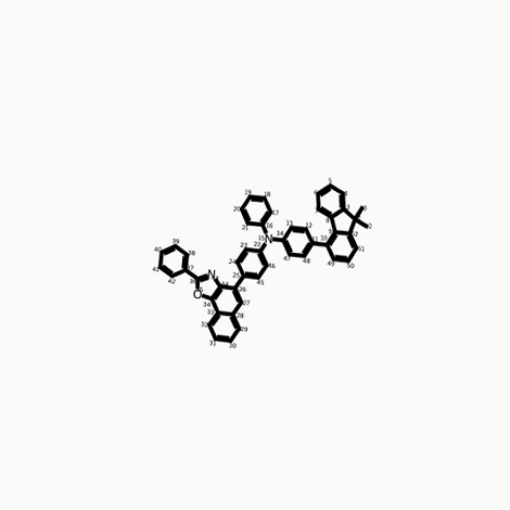 CC1(C)c2ccccc2-c2c(-c3ccc(N(c4ccccc4)c4ccc(-c5cc6ccccc6c6oc(-c7ccccc7)nc56)cc4)cc3)cccc21